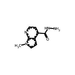 Cn1ccc2c(C(=O)NN)ccnc21